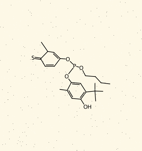 CCCCOP(OC1=CC(C)C(=S)C=C1)Oc1cc(C(C)(C)C)c(O)cc1C